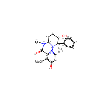 COc1c2n(ccc1=O)N1C(CC[C@H](O)[C@@]1(C)c1ccccc1)N(C)C2=O